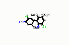 COc1cc(N)c(Cl)cc1-c1c(N)c(Cl)cc(C(=O)O)c1OC